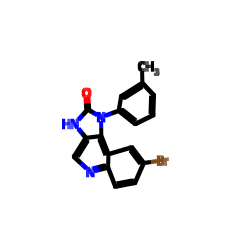 Cc1cccc(-n2c(=O)[nH]c3cnc4ccc(Br)cc4c32)c1